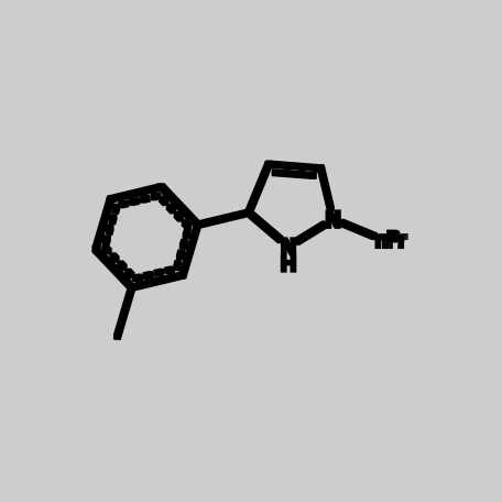 CCCN1C=CC(c2cccc(C)c2)N1